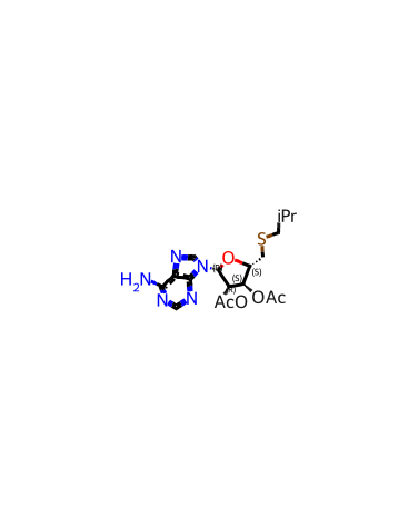 CC(=O)O[C@@H]1[C@H](OC(C)=O)[C@@H](CSCC(C)C)O[C@H]1n1cnc2c(N)ncnc21